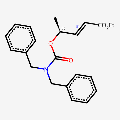 CCOC(=O)/C=C/[C@H](C)OC(=O)N(Cc1ccccc1)Cc1ccccc1